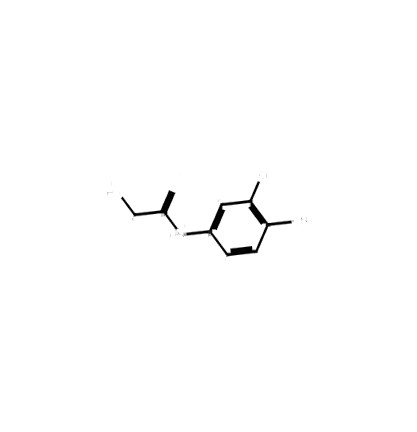 N#Cc1ccc(NC(=O)CS)cc1Cl